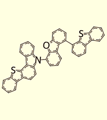 c1cc(-c2cccc3c2sc2ccccc23)c2c(c1)oc1c(-n3c4ccccc4c4c5sc6ccccc6c5ccc43)cccc12